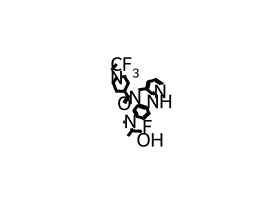 CC(CO)N(C)c1cc2c(cc1F)Nc1ncccc1CN2C(=O)C1CCN(CC(F)(F)F)CC1